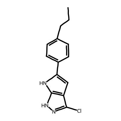 CCCc1ccc(-c2cc3c(Cl)n[nH]c3[nH]2)cc1